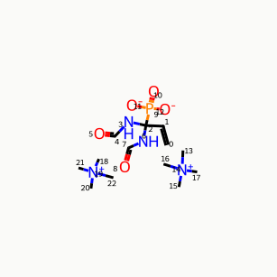 C=CC(NC=O)(NC=O)P(=O)([O-])[O-].C[N+](C)(C)C.C[N+](C)(C)C